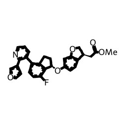 COC(=O)C[C@@H]1COc2cc(O[C@@H]3CCc4c(-c5cccnc5-c5ccoc5)ccc(F)c43)ccc21